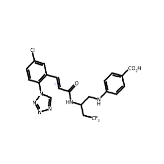 O=C(/C=C/c1cc(Cl)ccc1-n1cnnn1)NC(CNc1ccc(C(=O)O)cc1)CC(F)(F)F